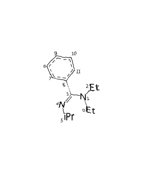 CCN(CC)C(=NC(C)C)c1ccccc1